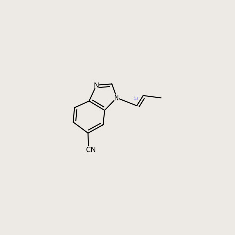 C/C=C/n1cnc2ccc(C#N)cc21